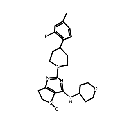 Cc1ccc(C2CCN(c3nc4c(c(NC5CCOCC5)n3)[S+]([O-])CC4)CC2)c(F)c1